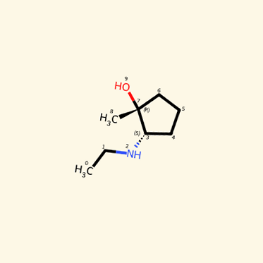 CCN[C@H]1CCC[C@@]1(C)O